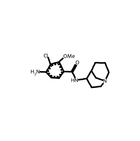 COc1c(C(=O)NC2CCN3CCCC2C3)ccc(N)c1Cl